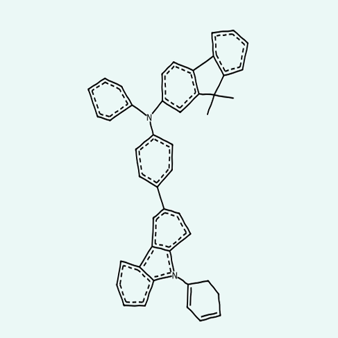 CC1(C)c2ccccc2-c2ccc(N(c3ccccc3)c3ccc(-c4ccc5c(c4)c4ccccc4n5C4=CC=CCC4)cc3)cc21